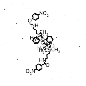 C[Si](C)(CCCNC(=O)c1ccc([N+](=O)[O-])cc1)O[Si](C)(C)O[Si](O[Si](C)(C)CCCNCOc1ccc([N+](=O)[O-])cc1)(c1ccccc1)c1ccccc1